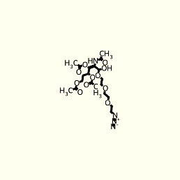 CC(=O)N/C(=C(\OC(C)=O)C(CCOC(C)=O)OC(C)=O)C(O)OCCOCCOCCN=[N+]=[N-]